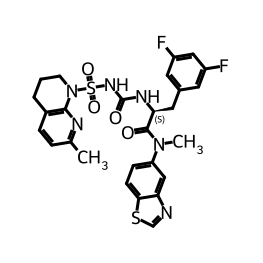 Cc1ccc2c(n1)N(S(=O)(=O)NC(=O)N[C@@H](Cc1cc(F)cc(F)c1)C(=O)N(C)c1ccc3scnc3c1)CCC2